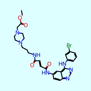 CCOC(=O)CN1CCN(CCCNC(=O)/C=C/C(=O)Nc2ccc3ncnc(Nc4cccc(Br)c4)c3c2)CC1